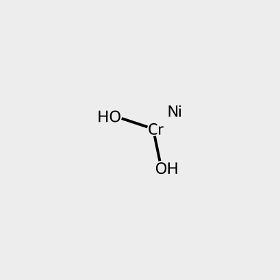 [Ni].[OH][Cr][OH]